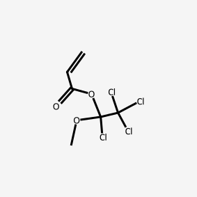 C=CC(=O)OC(Cl)(OC)C(Cl)(Cl)Cl